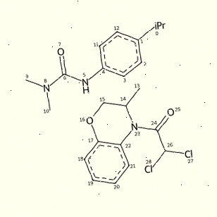 CC(C)c1ccc(NC(=O)N(C)C)cc1.CC1COc2ccccc2N1C(=O)C(Cl)Cl